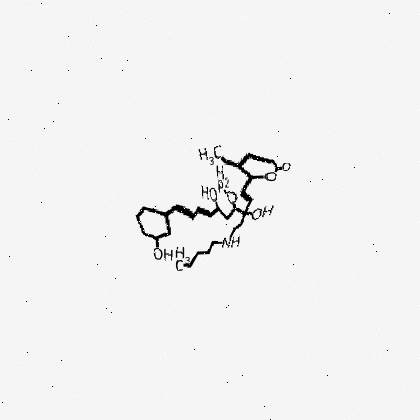 CCCCCNCCC(O)(C=CC1OC(=O)C=CC1CC)C(CC(O)C=CC=CC1CCCC(O)C1)OP